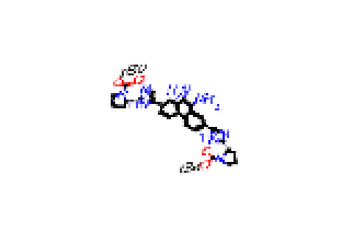 CC(C)(C)OC(=O)N1CCC[C@H]1c1ncc(-c2ccc3c(c2)c(N)c(N)c2cc(-c4cnc([C@@H]5CCCN5C(=O)OC(C)(C)C)[nH]4)ccc23)[nH]1